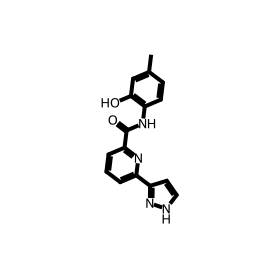 Cc1ccc(NC(=O)c2cccc(-c3cc[nH]n3)n2)c(O)c1